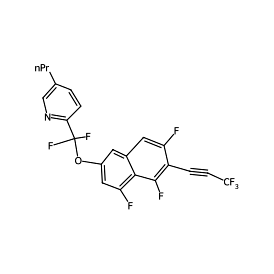 CCCc1ccc(C(F)(F)Oc2cc(F)c3c(F)c(C#CC(F)(F)F)c(F)cc3c2)nc1